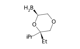 B[C@H]1COC[C@](CC)(C(C)C)O1